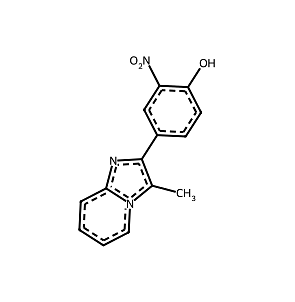 Cc1c(-c2ccc(O)c([N+](=O)[O-])c2)nc2ccccn12